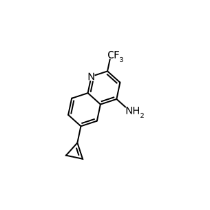 Nc1cc(C(F)(F)F)nc2ccc(C3=CC3)cc12